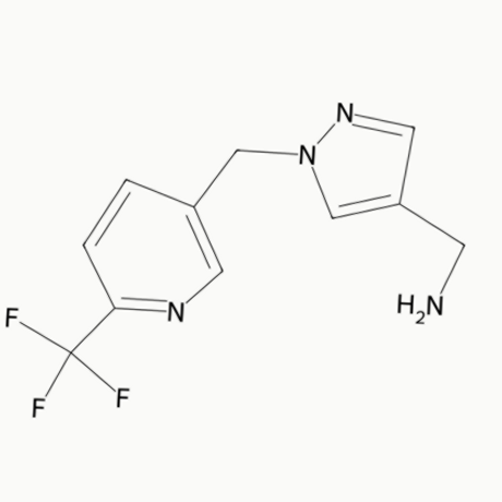 NCc1cnn(Cc2ccc(C(F)(F)F)nc2)c1